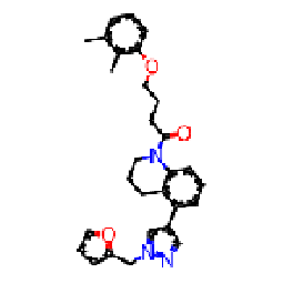 Cc1cccc(OCCCC(=O)N2CCCc3c(-c4cnn(Cc5ccco5)c4)cccc32)c1C